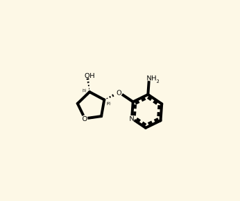 Nc1cccnc1O[C@@H]1COC[C@@H]1O